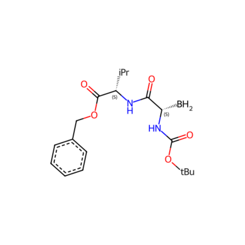 B[C@H](NC(=O)OC(C)(C)C)C(=O)N[C@H](C(=O)OCc1ccccc1)C(C)C